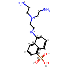 NCCN(CCN)CCNc1cccc2c(S(=O)(=O)O)cccc12